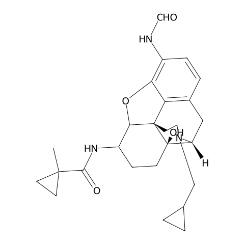 CC1(C(=O)NC2CC[C@@]3(O)[C@H]4Cc5ccc(NC=O)c6c5[C@@]3(CCN4CC3CC3)C2O6)CC1